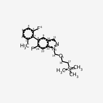 Cc1cccc(F)c1-c1cc2cnn(COCC[Si](C)(C)C)c2cc1F